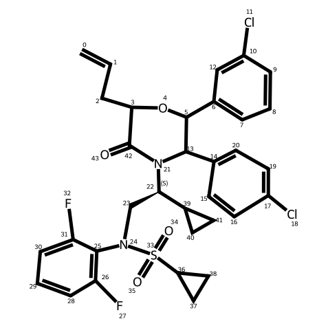 C=CCC1OC(c2cccc(Cl)c2)C(c2ccc(Cl)cc2)N([C@H](CN(c2c(F)cccc2F)S(=O)(=O)C2CC2)C2CC2)C1=O